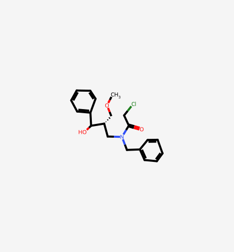 COC[C@H](CN(Cc1ccccc1)C(=O)CCl)C(O)c1ccccc1